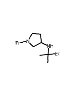 CCC(C)(C)NC1CCN(C(C)C)C1